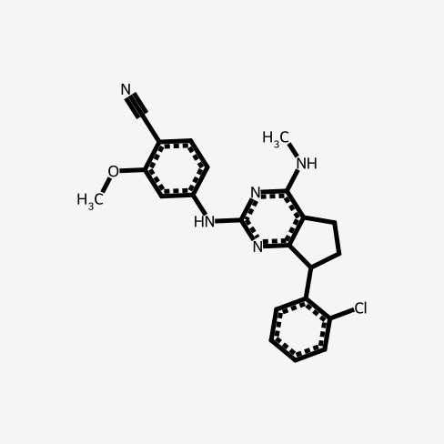 CNc1nc(Nc2ccc(C#N)c(OC)c2)nc2c1CCC2c1ccccc1Cl